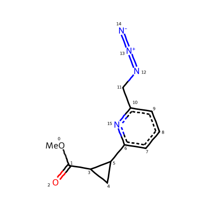 COC(=O)C1CC1c1cccc(CN=[N+]=[N-])n1